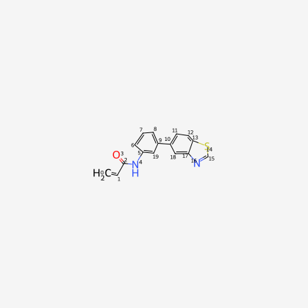 C=CC(=O)Nc1cccc(-c2ccc3scnc3c2)c1